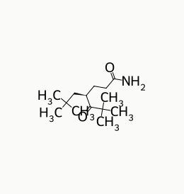 CC(C)(C)C[C@@H](CCC(N)=O)C(=O)C(C)(C)C